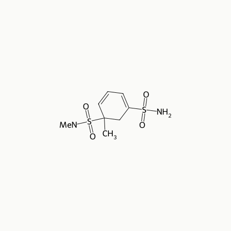 CNS(=O)(=O)C1(C)C=CC=C(S(N)(=O)=O)C1